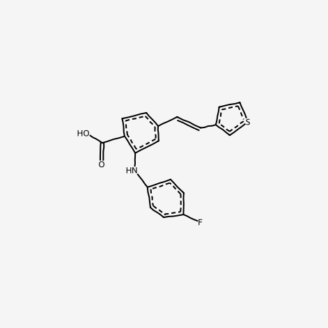 O=C(O)c1ccc(C=Cc2ccsc2)cc1Nc1ccc(F)cc1